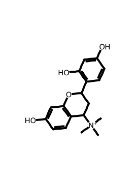 C[N+](C)(C)C1CC(c2ccc(O)cc2O)Oc2cc(O)ccc21